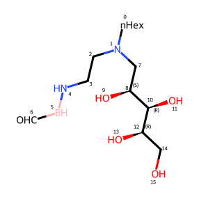 CCCCCCN(CCNBC=O)C[C@H](O)[C@@H](O)[C@H](O)CO